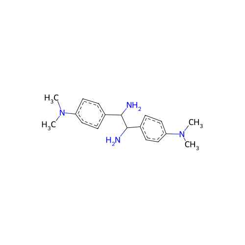 CN(C)c1ccc(C(N)C(N)c2ccc(N(C)C)cc2)cc1